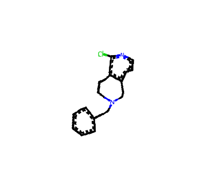 Clc1nccc2c1CCN(Cc1ccccc1)C2